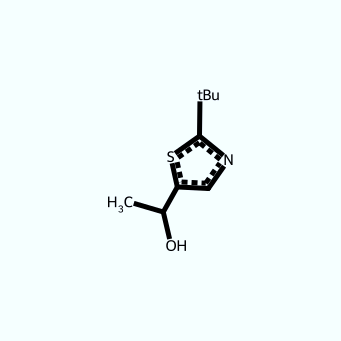 CC(O)c1cnc(C(C)(C)C)s1